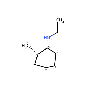 CCN[C@@H]1CCCC[C@@H]1C